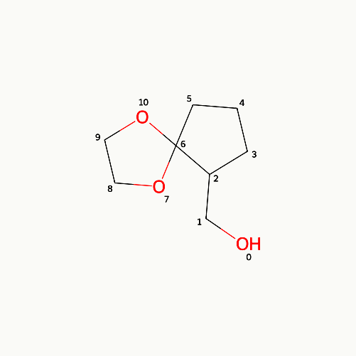 OCC1CCCC12OCCO2